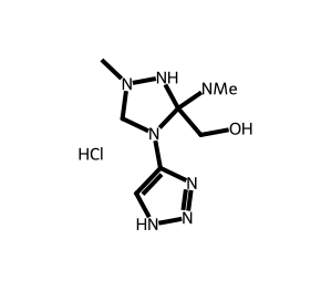 CNC1(CO)NN(C)CN1c1c[nH]nn1.Cl